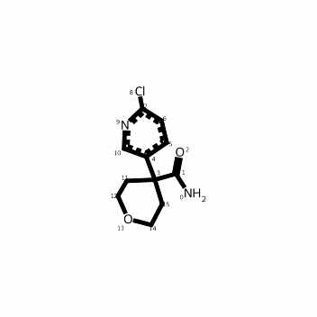 NC(=O)C1(c2ccc(Cl)nc2)CCOCC1